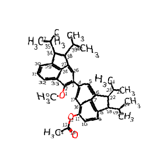 COc1c(-c2cc3c4c(ccc(OC(C)=O)c4c2)C(C(C)C)C3C(C)C)cc2c3c(cccc13)C(C(C)C)C2C(C)C